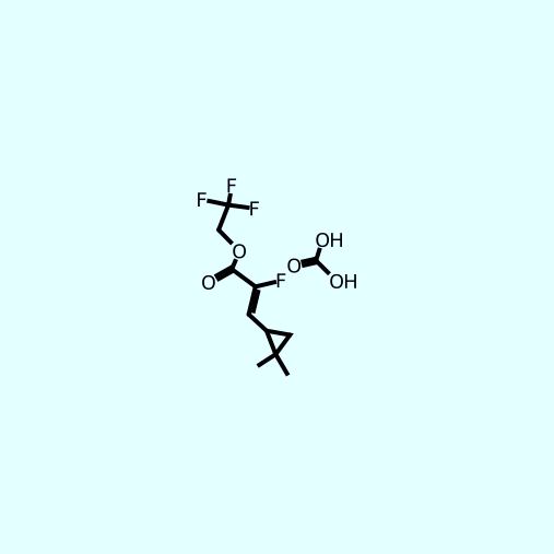 CC1(C)CC1C=C(F)C(=O)OCC(F)(F)F.O=C(O)O